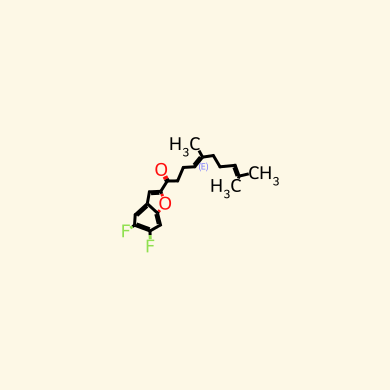 CC(C)=CCC/C(C)=C/CCC(=O)c1cc2cc(F)c(F)cc2o1